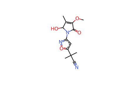 COC1=C(C)C(O)N(c2cc(C(C)(C)C#N)on2)C1=O